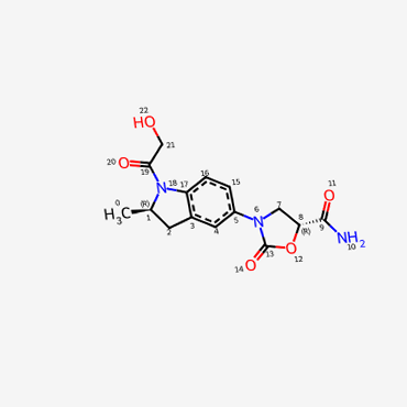 C[C@@H]1Cc2cc(N3C[C@H](C(N)=O)OC3=O)ccc2N1C(=O)CO